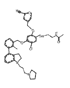 CC(=O)NCCNCc1cc(Cl)c(OCc2cccc(-c3cccc4c3CCN4CCCN3CCCC3)c2C)cc1OCc1cccc(C#N)c1